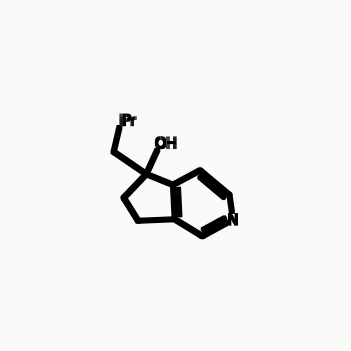 CC(C)CC1(O)CCc2cnccc21